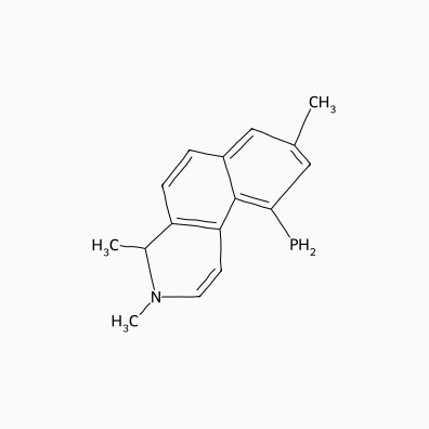 Cc1cc(P)c2c3c(ccc2c1)C(C)N(C)C=C3